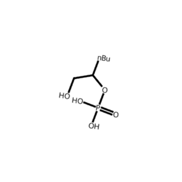 CCCCC(CO)OP(=O)(O)O